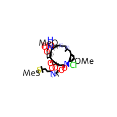 COc1cc2cc(c1Cl)N(C)C(=O)C[C@H](OC(=O)[C@H](C)N(C)C(=O)CCC(C)(C)SSC)[C@]1(C)OC1C(C)[C@@H]1C[C@@](O)(NC(=O)O1)[C@H](OC)/C=C/C=C(\C)C2